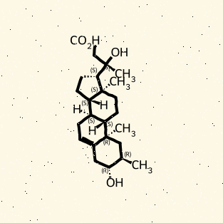 C[C@@H]1C[C@@]2(C)C(=CC[C@H]3[C@@H]4CC[C@H]([C@@](C)(O)CC(=O)O)[C@@]4(C)CC[C@@H]32)C[C@H]1O